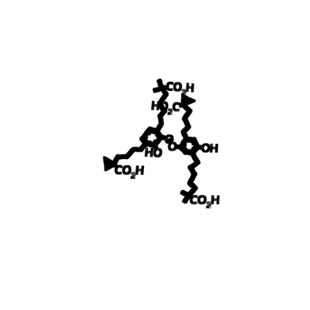 CC(C)(CCCCCc1cc(OOc2c(CCCCCC(C)(C)C(=O)O)ccc(CCCCC3(C(=O)O)CC3)c2O)c(CCCCC2(C(=O)O)CC2)cc1O)C(=O)O